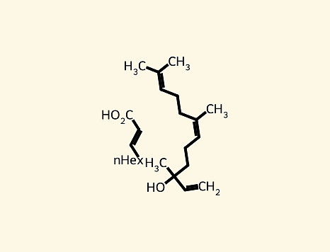 C=CC(C)(O)CCC=C(C)CCC=C(C)C.CCCCCCC=CC(=O)O